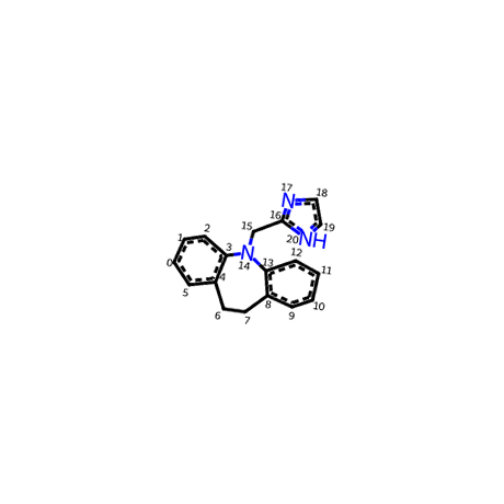 c1ccc2c(c1)CCc1ccccc1N2Cc1ncc[nH]1